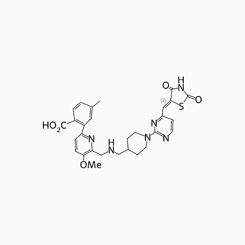 COc1ccc(-c2cc(C)ccc2C(=O)O)nc1CNCC1CCN(c2nccc(/C=C3\SC(=O)NC3=O)n2)CC1